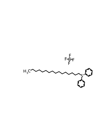 CCCCCCCCCCCCCCCC[S+](c1ccccc1)c1ccccc1.F[B-](F)(F)F